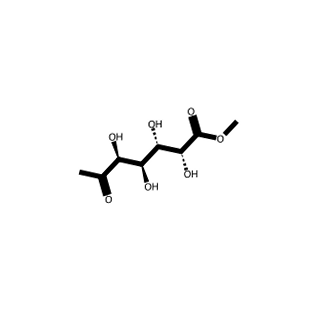 COC(=O)[C@H](O)[C@@H](O)[C@@H](O)[C@H](O)C(C)=O